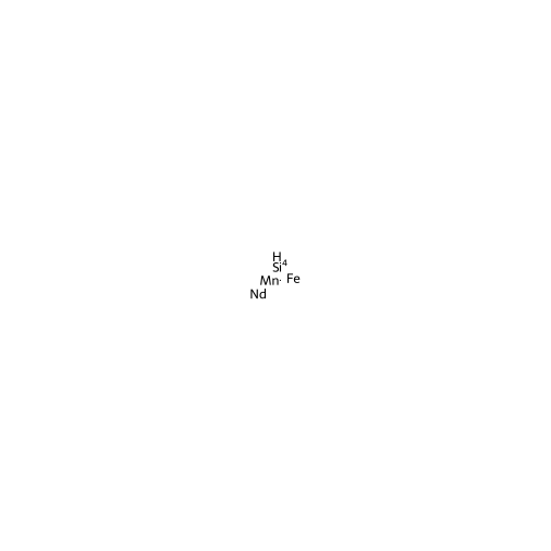 [Fe].[Mn].[Nd].[SiH4]